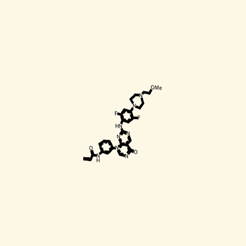 C=CC(=O)Nc1cccc(-n2cnc(=O)c3cnc(Nc4cc(F)c(N5CCN(CCOC)CC5)cc4F)nc32)c1